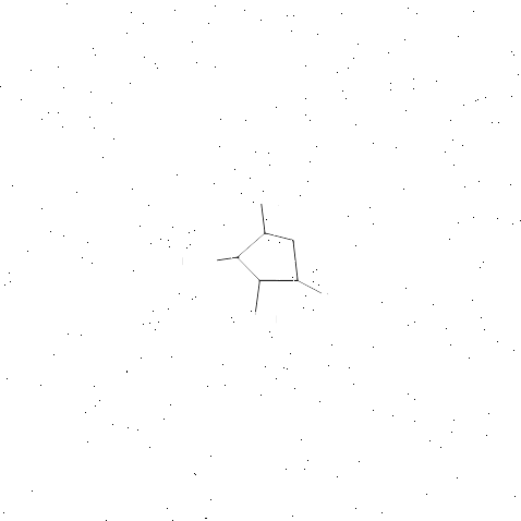 CC(=O)C1CC(C(=O)O)C(C(=O)O)C1C(=O)O